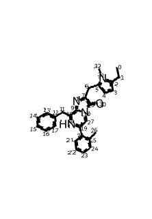 CCc1ccc(Cc2nc3c(Cc4ccccc4)[nH]c(-c4ccccc4C)cn-3c2=O)n1C